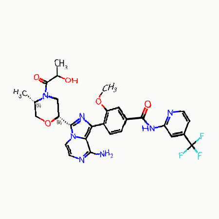 COc1cc(C(=O)Nc2cc(C(F)(F)F)ccn2)ccc1-c1nc([C@H]2CN(C(=O)C(C)O)[C@@H](C)CO2)n2ccnc(N)c12